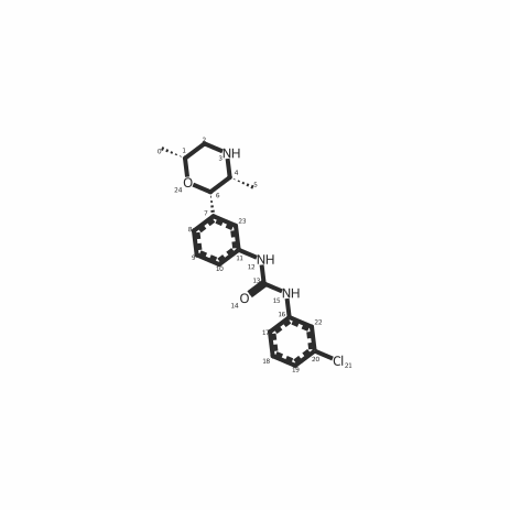 C[C@@H]1CN[C@H](C)[C@H](c2cccc(NC(=O)Nc3cccc(Cl)c3)c2)O1